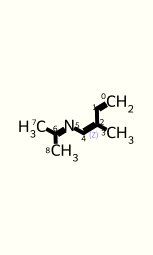 C=C/C(C)=C\N=C(C)C